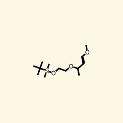 COC=CC(C)OCCO[Si](C)(C)C(C)(C)C